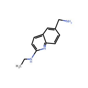 CCNc1ccc2cc(CN)ccc2n1